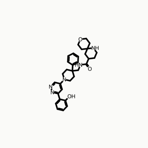 O=C(NCC1(c2ccccc2)CCN(c2cnnc(-c3ccccc3O)c2)CC1)C1CCNC2(CCOCC2)C1